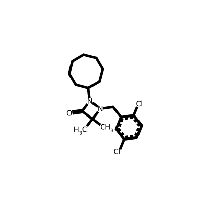 CC1(C)C(=O)N(C2CCCCCCC2)N1Cc1cc(Cl)ccc1Cl